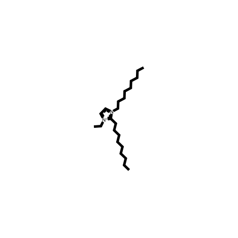 CCCCCCCCCc1n(CCCCCCCCC)cc[n+]1CC